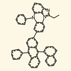 CCc1nc2cccc3c2n1-c1ccc(-c2ccc4c(-c5ccccc5)c5ccccc5c(-c5cccc6ccccc56)c4c2)cc1N3c1ccccc1